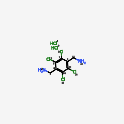 Cl.Cl.NCc1c(Cl)c(Cl)c(CN)c(Cl)c1Cl